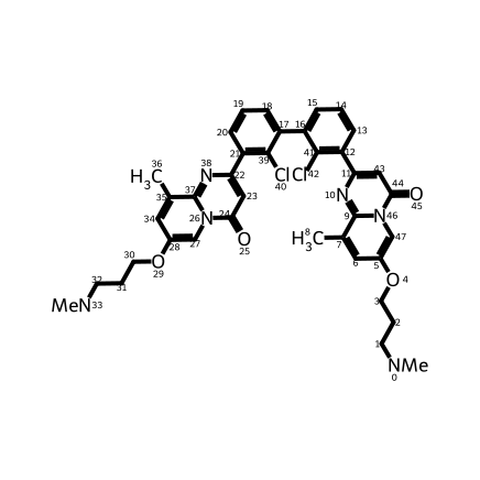 CNCCCOc1cc(C)c2nc(-c3cccc(-c4cccc(-c5cc(=O)n6cc(OCCCNC)cc(C)c6n5)c4Cl)c3Cl)cc(=O)n2c1